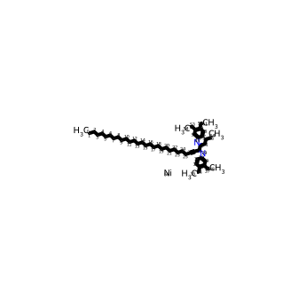 CCCCCCCCCCCCCCCCCCCCCCCCCCC#CC(=N\c1ccc(CC)c(CC)c1)/C(CCCC)=N/c1ccc(CC)c(CC)c1.[Ni]